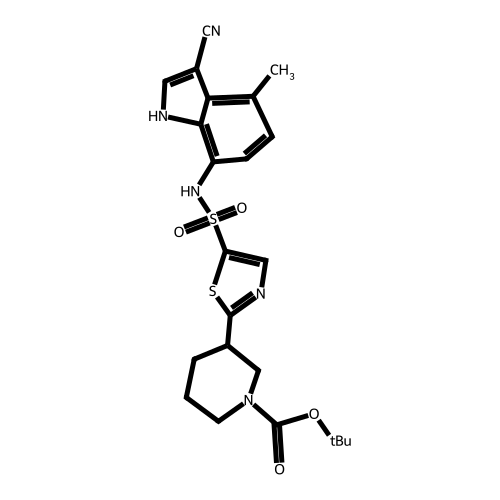 Cc1ccc(NS(=O)(=O)c2cnc(C3CCCN(C(=O)OC(C)(C)C)C3)s2)c2[nH]cc(C#N)c12